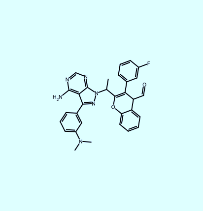 CC(C1=C(c2cccc(F)c2)C(C=O)c2ccccc2O1)n1nc(-c2cccc(N(C)C)c2)c2c(N)ncnc21